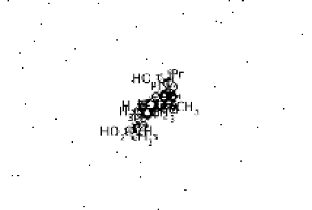 C=C(C)[C@@H]1CC[C@]2(C(=O)NC(CC(C)C)C(=O)O)CC[C@]3(C)[C@H](CCC4[C@@]5(C)CC[C@H](OC(=O)CC(C)(C)C(=O)O)C(C)(C)[C@@H]5CC[C@]43C)[C@@H]12